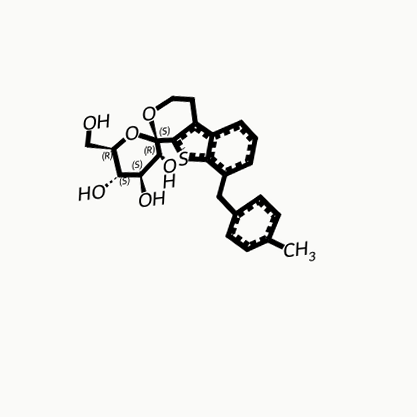 Cc1ccc(Cc2cccc3c4c(sc23)[C@@]2(OCC4)O[C@H](CO)[C@@H](O)[C@H](O)[C@H]2O)cc1